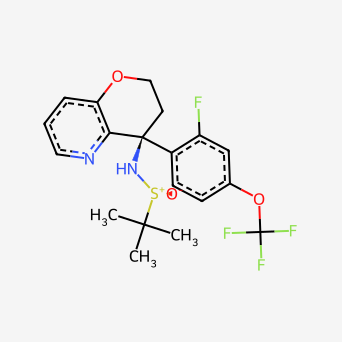 CC(C)(C)[S@+]([O-])N[C@]1(c2ccc(OC(F)(F)F)cc2F)CCOc2cccnc21